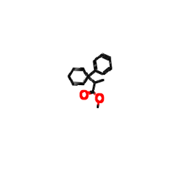 COC(=O)C(C)C1(c2ccccc2)C=CCC=C1